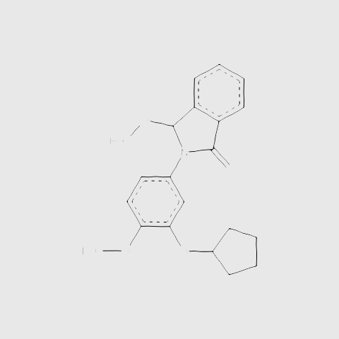 COc1ccc(N2C(=S)c3ccccc3C2OC)cc1OC1CCCC1